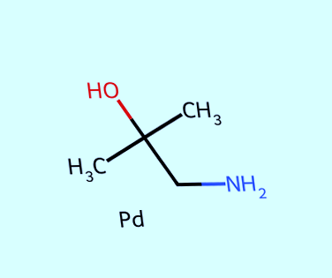 CC(C)(O)CN.[Pd]